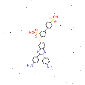 Nc1ccc(-c2nc3ccc(Sc4ccc(-c5ccc(S(=O)(=O)O)cc5)cc4S(=O)(=O)O)cc3nc2-c2ccc(N)cc2)cc1